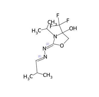 CC(C)/C=N/N=C1\OCC(O)(C(F)(F)F)N1C(C)C